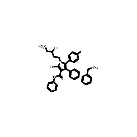 CC(C)c1c(C(=O)Nc2ccccc2)c(-c2ccccc2)c(-c2ccc(F)cc2)n1CCC(O)CC(=O)O.CNCc1ccccc1